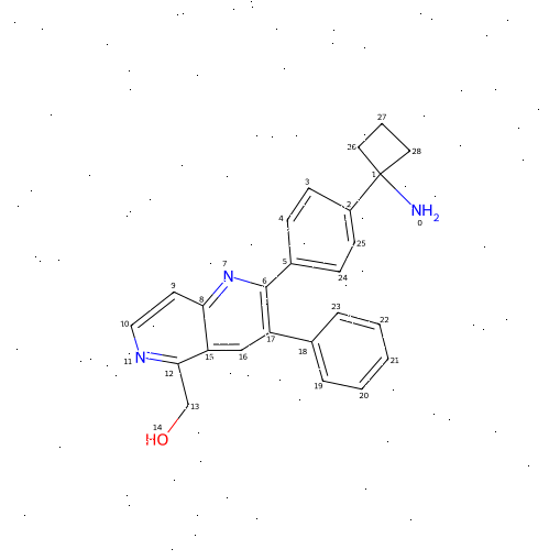 NC1(c2ccc(-c3nc4ccnc(CO)c4cc3-c3ccccc3)cc2)CCC1